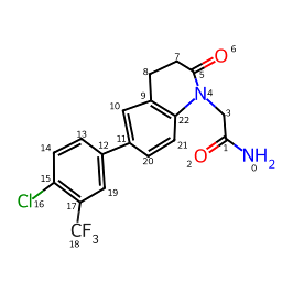 NC(=O)CN1C(=O)CCc2cc(-c3ccc(Cl)c(C(F)(F)F)c3)ccc21